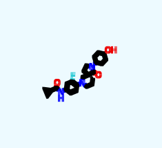 O=C(Nc1ccc(N2CCC[C@@]3(CCN(C4CCC(O)CC4)C3=O)C2)c(F)c1)C1CC1